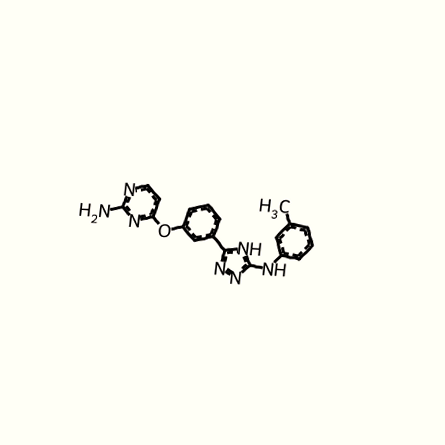 Cc1cccc(Nc2nnc(-c3cccc(Oc4ccnc(N)n4)c3)[nH]2)c1